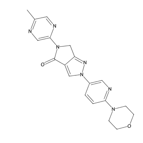 Cc1cnc(N2Cc3nn(-c4ccc(N5CCOCC5)nc4)cc3C2=O)cn1